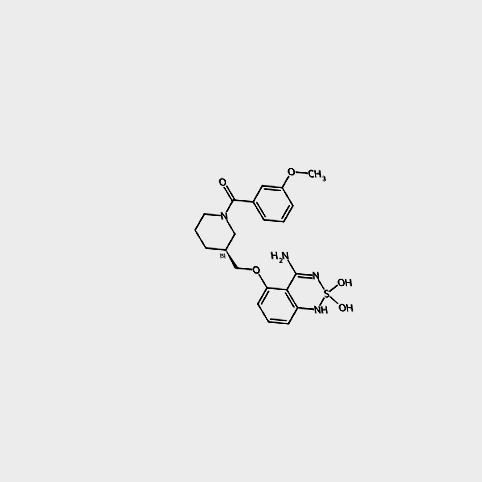 COc1cccc(C(=O)N2CCC[C@H](COc3cccc4c3C(N)=NS(O)(O)N4)C2)c1